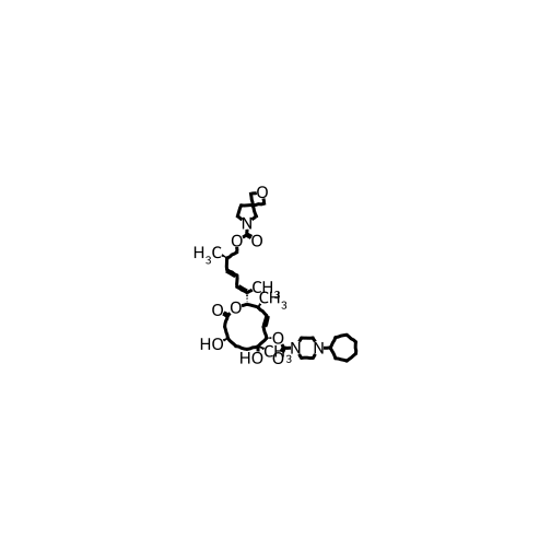 C/C(=C\C=C\[C@@H](C)COC(=O)N1CCC2(COC2)C1)[C@H]1OC(=O)C[C@H](O)CC[C@@](C)(O)[C@@H](OC(=O)N2CCN(C3CCCCCC3)CC2)/C=C/[C@@H]1C